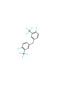 Fc1ccc(Cc2ccc(F)c(C(F)(F)F)c2)cc1C(F)(F)F